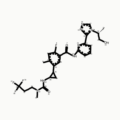 Cc1cc(F)c(C(=O)Nc2cccc(-c3nncn3[C@H](C)CO)n2)cc1C1CC1NC(=O)N(C)CCC(F)(F)F